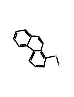 [S]Sc1cccc2c1ccc1ccccc12